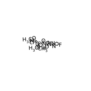 CN(C)C(=O)/C=C/CC[C@H](OC(=O)N(C)C)C(=O)Nc1cccn(Cc2nc3cc(F)ccc3[nH]2)c1=O